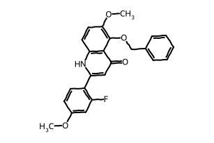 COc1ccc(-c2cc(=O)c3c(OCc4ccccc4)c(OC)ccc3[nH]2)c(F)c1